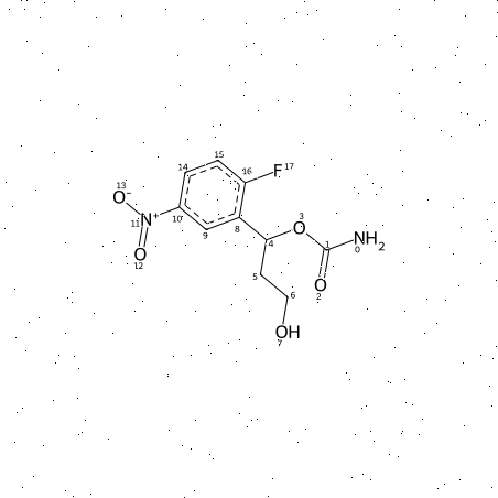 NC(=O)OC(CCO)c1cc([N+](=O)[O-])ccc1F